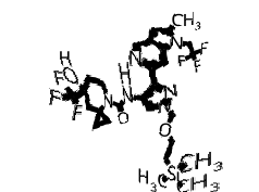 Cc1cc2cnc(-c3nn(COCC[Si](C)(C)C)cc3NC(=O)N3CCC(O)(C(F)(F)F)CC34CC4)cc2n1CC(F)(F)F